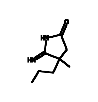 CCCC1(C)CC(=O)NC1=N